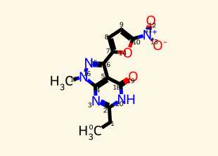 CCc1nc2c(c(-c3ccc([N+](=O)[O-])o3)nn2C)c(=O)[nH]1